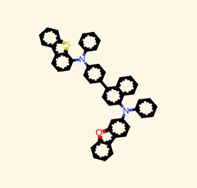 c1ccc(N(c2ccc3c(c2)oc2ccccc23)c2ccc(-c3ccc(N(c4ccccc4)c4cccc5c4sc4ccccc45)cc3)c3ccccc23)cc1